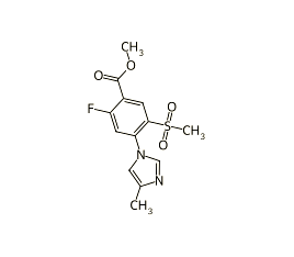 COC(=O)c1cc(S(C)(=O)=O)c(-n2cnc(C)c2)cc1F